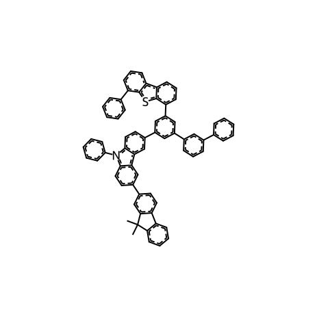 CC1(C)c2ccccc2-c2ccc(-c3ccc4c(c3)c3cc(-c5cc(-c6cccc(-c7ccccc7)c6)cc(-c6cccc7c6sc6c(-c8ccccc8)cccc67)c5)ccc3n4-c3ccccc3)cc21